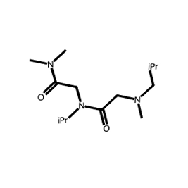 CC(C)CN(C)CC(=O)N(CC(=O)N(C)C)C(C)C